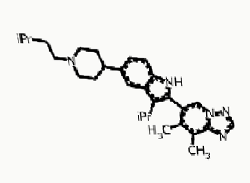 Cc1c(-c2[nH]c3ccc(C4CCN(CCC(C)C)CC4)cc3c2C(C)C)cn2ncnc2c1C